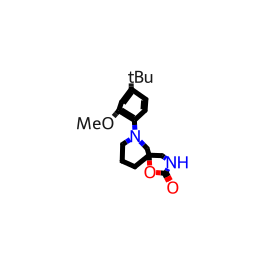 COc1cc(C(C)(C)C)ccc1N1CCCC2(CNC(=O)O2)C1